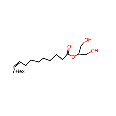 CCCCCC/C=C\CCCCCCCC(=O)OC(CO)CO